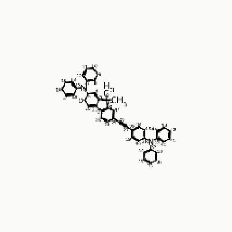 CC1(C)C2=CC(N(C3=CCCC=C3)C3=CCCC=C3)CC=C2c2ccc(C#Cc3ccc(N(c4ccccc4)c4ccccc4)cc3)cc21